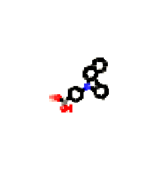 OB(O)C1=CC=C(n2c3ccccc3c3c4ccccc4ccc32)CC1